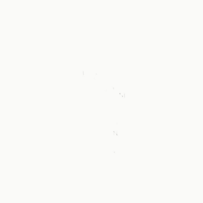 O=C(O)c1ccccc1C(=O)Nc1ccc(N2CCOCC2)cc1